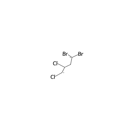 Cl[CH]C(Cl)C[C](Br)Br